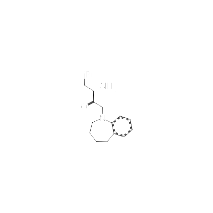 CC(C)C[C@H](N)C(=O)CN1CCCCc2ccccc21